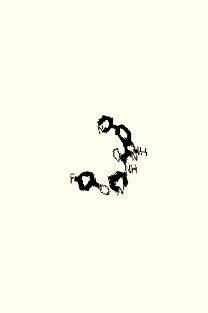 O=C(Nc1ccc(Oc2ccc(F)cc2)nc1)c1n[nH]c2ccc(-c3cccnc3)cc12